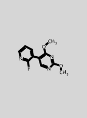 COc1ncc(-c2cccnc2F)c(OC)n1